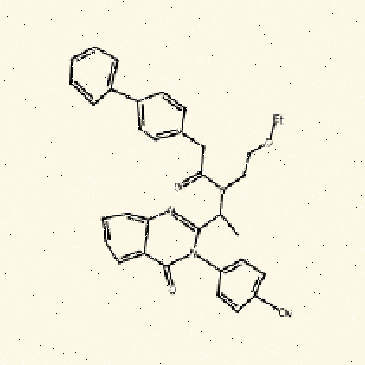 CCOCCN(C(=O)Cc1ccc(-c2ccccc2)cc1)C(C)c1nc2ccccc2c(=O)n1-c1ccc(C#N)cc1